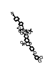 COC(=O)[C@H](Cc1ccc(-c2ccc(C#N)cc2)cc1)NC(=O)C1Cc2cc3c(cc2CN1C(=O)OC(C)(C)C)OC(c1ccc(OCc2ccc(Cl)c(Cl)c2)cc1)CN3C(C)=O